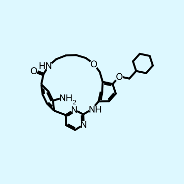 Nc1cc2ccc1-c1ccnc(n1)Nc1ccc(OCC3CCCCC3)c(c1)COCCCCNC2=O